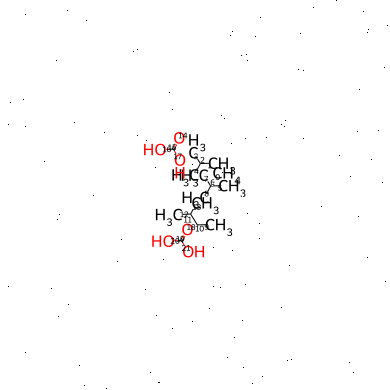 C.CC(C)C.CC(C)C.CCC(C)C.O=C(O)O.O=C(O)O